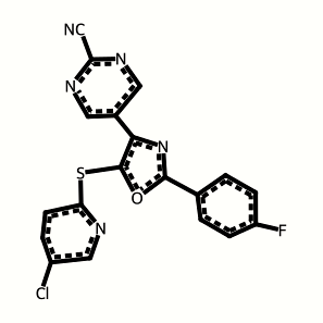 N#Cc1ncc(-c2nc(-c3ccc(F)cc3)oc2Sc2ccc(Cl)cn2)cn1